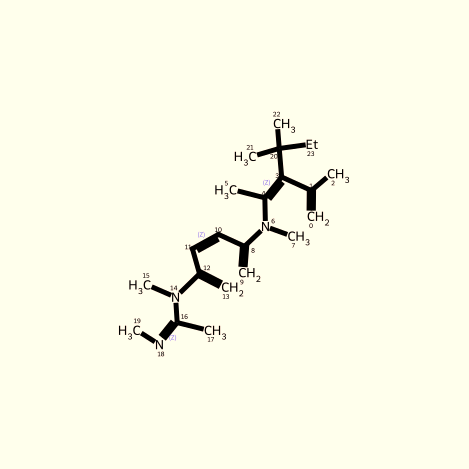 C=C(C)/C(=C(/C)N(C)C(=C)/C=C\C(=C)N(C)/C(C)=N\C)C(C)(C)CC